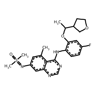 Cc1cc(N=S(C)(C)=O)cc2ncnc(Nc3ccc(F)cc3OC(C)C3CCOC3)c12